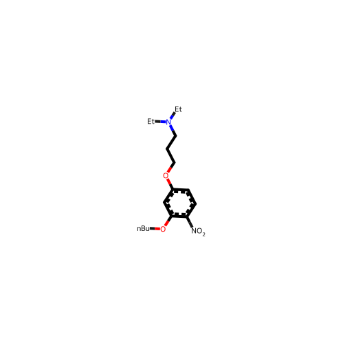 CCCCOc1cc(OCCCN(CC)CC)ccc1[N+](=O)[O-]